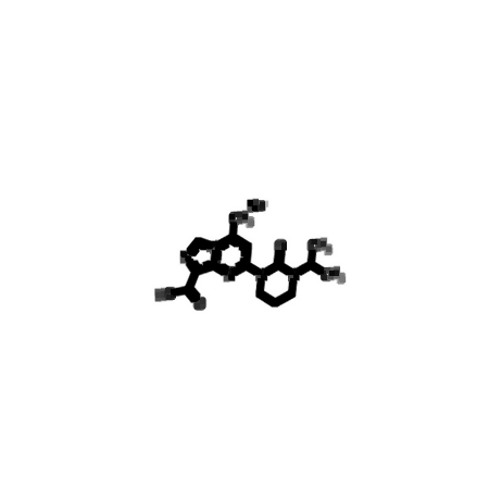 Cc1cc(N2CCCN(C(C)C)C2=O)nc2c(C(=O)O)ncn12.[Na]